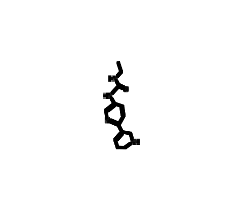 CCNC(=O)Nc1ccc(C2=CCCNC2)nc1